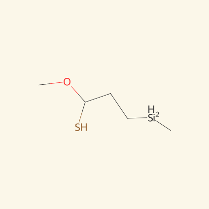 COC(S)CC[SiH2]C